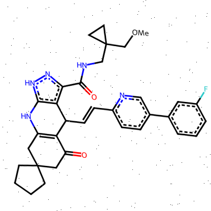 COCC1(CNC(=O)c2n[nH]c3c2C(/C=C/c2ccc(-c4cccc(F)c4)cn2)C2=C(CC4(CCCC4)CC2=O)N3)CC1